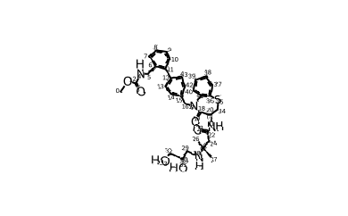 COC(=O)NCc1ccccc1-c1ccc(CN2C(=O)[C@H](NC(=O)CC(C)(C)NC[C@H](O)CO)CSc3ccccc32)cc1